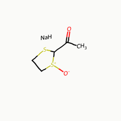 CC(=O)C1SCC[S+]1[O-].[NaH]